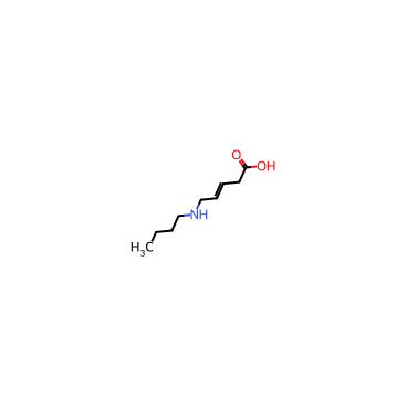 CCCCNCC=CCC(=O)O